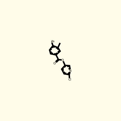 Cc1cc(C(=O)Oc2ccc(Cl)nc2)ccc1C(C)C